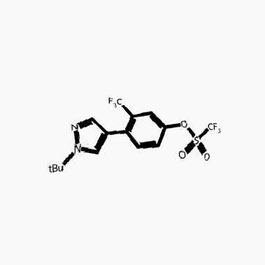 CC(C)(C)n1cc(-c2ccc(OS(=O)(=O)C(F)(F)F)cc2C(F)(F)F)cn1